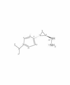 CC(C)c1ccc([C@@H]2C[C@H]2NN)cc1